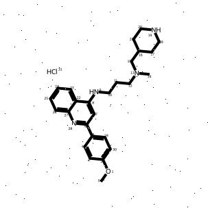 COc1ccc(-c2cc(NCCCN(C)CC3CCNCC3)c3ccccc3n2)cc1.Cl